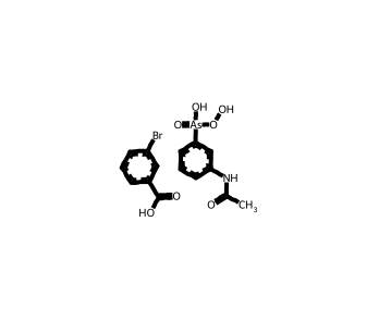 CC(=O)Nc1cccc([As](=O)(O)OO)c1.O=C(O)c1cccc(Br)c1